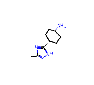 Cc1n[nH]c([C@H]2CC[C@@H](N)CC2)n1